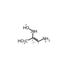 N/C=C(\NO)C(=O)O